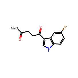 COC(=O)CCC(=O)c1c[nH]c2ccc(Br)cc12